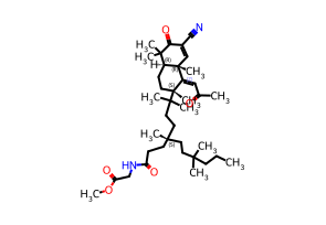 CCCC(C)(C)CC[C@](C)(CCC(=O)NCC(=O)OC)CCC(C)(C)[C@]1(C)CC[C@H]2C(C)(C)C(=O)C(C#N)=C[C@]2(C)/C1=C/C(C)=O